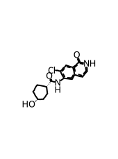 O=c1[nH]ccc2cc(NC(=O)[C@H]3CC[C@@H](O)CC3)c(Cl)cc12